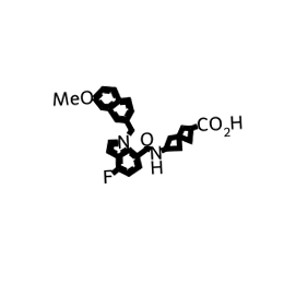 COc1ccc2ccc(Cn3ccc4c(F)ccc(C(=O)NC5CC6(C5)CC(C(=O)O)C6)c43)cc2c1